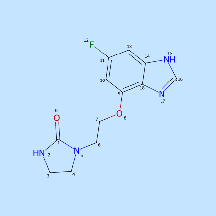 O=C1NCCN1CCOc1cc(F)cc2[nH][c]nc12